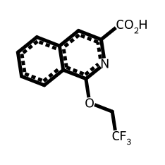 O=C(O)c1cc2ccccc2c(OCC(F)(F)F)n1